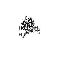 CCOC(CCO)OCC.NC1=Nc2ccc(Cl)cc2C(c2ccccc2F)=NC1